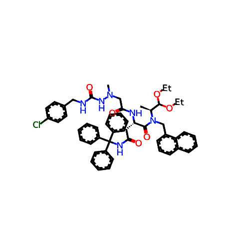 CCOC(OCC)[C@H](C)N(Cc1cccc2ccccc12)C(=O)[C@H](CC(=O)NC(c1ccccc1)(c1ccccc1)c1ccccc1)NC(=O)CN(C)NC(=O)NCc1ccc(Cl)cc1